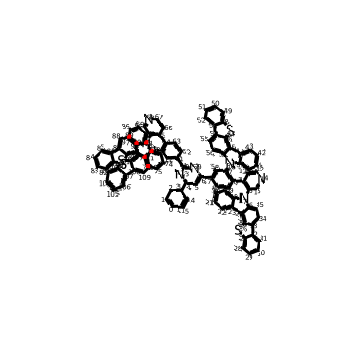 C1=CCC(c2cc(-c3ccc(-c4ccncc4-n4c5ccccc5c5c6sc7ccccc7c6ccc54)c(-n4c5ccccc5c5c6sc7ccccc7c6ccc54)c3)nc(-c3ccc(-c4ccncc4-n4c5ccccc5c5c6sc7ccccc7c6ccc54)c(-n4c5ccccc5c5c6sc7ccccc7c6ccc54)c3)n2)C=C1